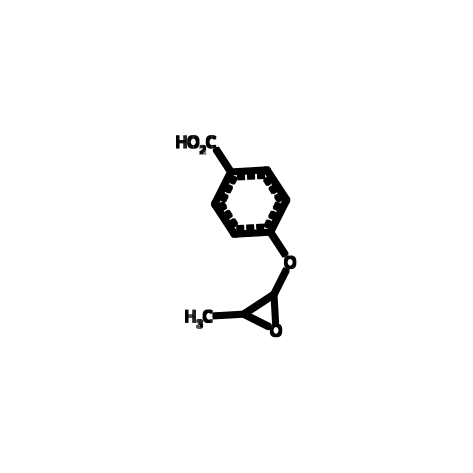 CC1OC1Oc1ccc(C(=O)O)cc1